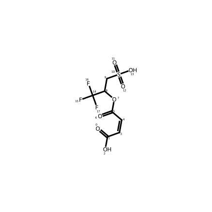 O=C(O)/C=C\C(=O)OC(CS(=O)(=O)O)C(F)(F)F